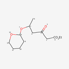 CCOC(=O)CC(=O)CC(C)OC1CCCCO1